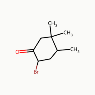 CC1CC(Br)C(=O)CC1(C)C